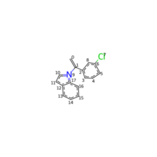 C=C(c1cccc(Cl)c1)n1ccc2ccccc21